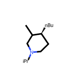 CCCC[C@H]1CCN(C(C)C)CC1C